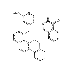 CSc1nccc(Cc2cccc3ccc4c(c23)CCC2=C4C=CCC2)n1.O=c1[nH]ncc2ccccc12